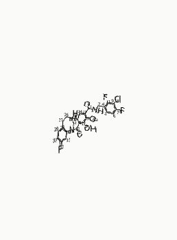 O=C(NCc1ccc(F)c(Cl)c1F)c1cn2c(c(O)c1=O)C(=O)N1C[C@@H]2CCc2ccc(F)cc21